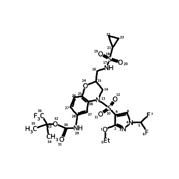 CCOc1nn(C(F)F)cc1S(=O)(=O)N1CC(CNS(=O)(=O)C2CC2)Oc2ccc(NC(=O)OC(C)(C)C(F)(F)F)cc21